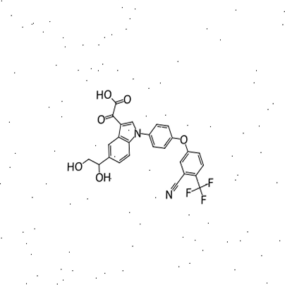 N#Cc1cc(Oc2ccc(-n3cc(C(=O)C(=O)O)c4cc(C(O)CO)ccc43)cc2)ccc1C(F)(F)F